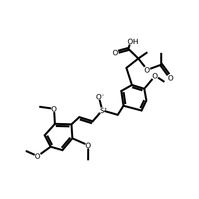 COc1cc(OC)c(C=C[S+]([O-])Cc2ccc(OC)c(CC(C)(OC(C)=O)C(=O)O)c2)c(OC)c1